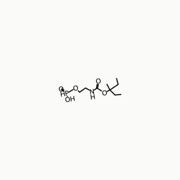 CCC(C)(CC)OC(=O)NCCO[PH](=O)O